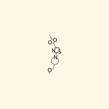 COCC1CCN(c2nc(C3OC(C)O3)cs2)CC1